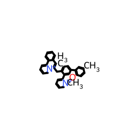 Cc1ccc2oc3c(-c4cccc[n+]4C)c(Cc4cc5ccccc5c5cccc[n+]45)c(C)cc3c2c1